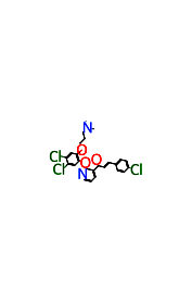 CN(C)CCCOc1cc(Cl)c(Cl)cc1Oc1ncccc1C(=O)C=Cc1ccc(Cl)cc1